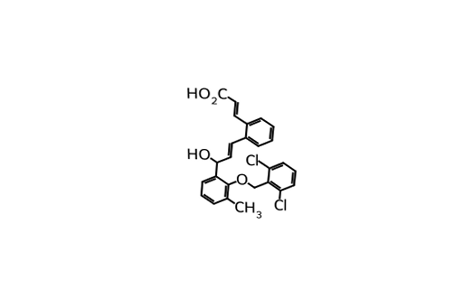 Cc1cccc(C(O)C=Cc2ccccc2C=CC(=O)O)c1OCc1c(Cl)cccc1Cl